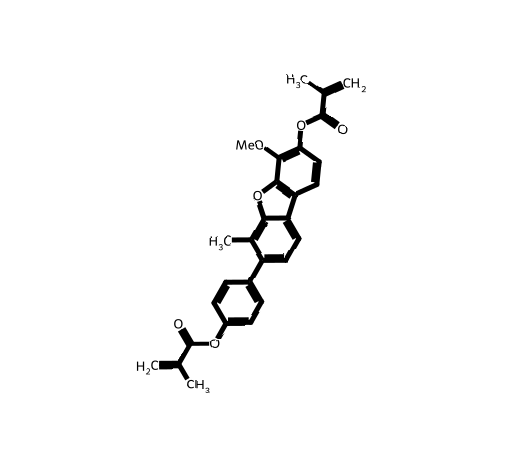 C=C(C)C(=O)Oc1ccc(-c2ccc3c(oc4c(OC)c(OC(=O)C(=C)C)ccc43)c2C)cc1